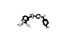 Cc1c2cc(-c3noc(C4CCN(C(=O)c5ccc(C(C)C)cc5)CC4)n3)ccc2nn1C